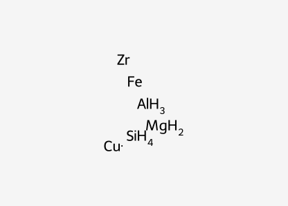 [AlH3].[Cu].[Fe].[MgH2].[SiH4].[Zr]